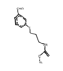 C=C(NCCCOc1cccc(C=O)c1)OC(C)(C)C